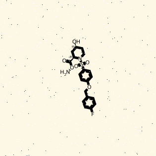 NOC(=O)[C@H]1C[C@H](O)CCN1S(=O)(=O)c1ccc(OCc2ccc(F)cc2)cc1